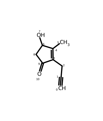 C#CCC1=C(C)C(O)CC1=O